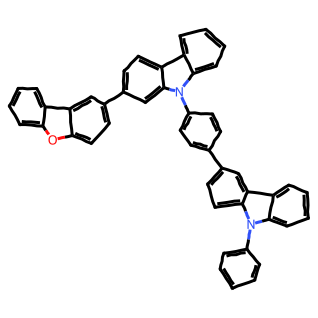 c1ccc(-n2c3ccccc3c3cc(-c4ccc(-n5c6ccccc6c6ccc(-c7ccc8oc9ccccc9c8c7)cc65)cc4)ccc32)cc1